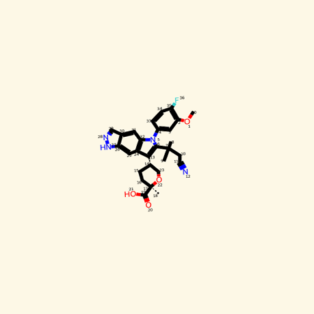 COc1cc(-n2c(C(C)(C)CC#N)c([C@H]3CC[C@](C)(C(=O)O)OC3)c3cc4[nH]ncc4cc32)ccc1F